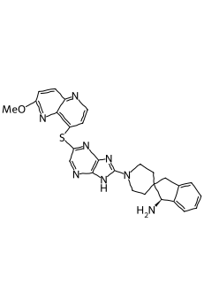 COc1ccc2nccc(Sc3cnc4[nH]c(N5CCC6(CC5)Cc5ccccc5[C@H]6N)nc4n3)c2n1